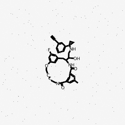 C#Cc1cccc(C2(NCC(O)C3Cc4cc(F)cc(c4)OCCCCNC(=O)c4cc(C)cc(c4)C(=O)N3)CC2)c1